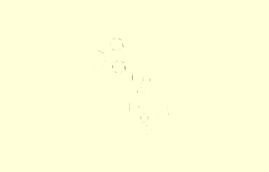 C=C(C(=O)c1ccc(/C=C/C(=O)OC[C@H](O)[C@H]2CC(C)(C)O[C@H]2[C@H]2COC(C)(C)O2)cc1)c1ccccc1